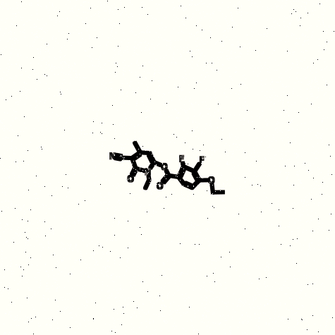 CCOc1ccc(C(=O)Oc2cc(C)c(C#N)c(=O)n2CC)c(F)c1F